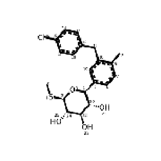 CS[C@H]1O[C@@H](c2ccc(C)c(Cc3ccc(Cl)cc3)c2)[C@H](O)[C@@H](O)[C@@H]1O